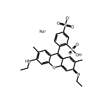 CCN=c1cc2oc3cc(NCC)c(C)cc3c(-c3ccc(S(=O)(=O)[O-])cc3S(=O)(=O)O)c-2cc1C.[Na+]